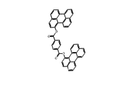 O=C(Oc1ccc2cccc3c4cccc5cccc(c1c23)c54)c1ccc(C(=O)Oc2ccc3cccc4c5cccc6cccc(c2c34)c65)cc1